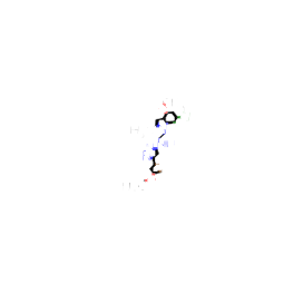 CCOc1csc(-c2cc(NCCn3c(C)cc4c(OC)cc(Cl)c(F)c43)ncn2)c1